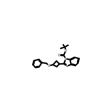 CC(C)(C)OC(=O)n1c(C2CC(OCc3ccccc3)C2)nc2ccccc21